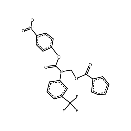 O=C(OCN(C(=O)Oc1ccc([N+](=O)[O-])cc1)c1cccc(C(F)(F)F)c1)c1ccccc1